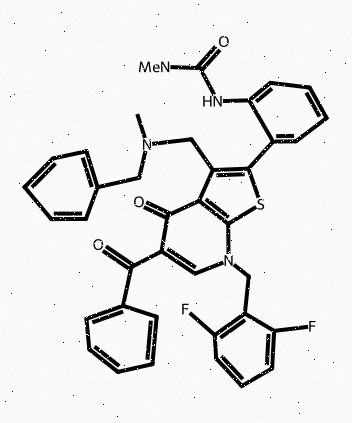 CNC(=O)Nc1ccccc1-c1sc2c(c1CN(C)Cc1ccccc1)c(=O)c(C(=O)c1ccccc1)cn2Cc1c(F)cccc1F